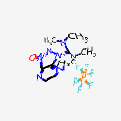 CN(C)C(N(C)C)=[N+]1N=[N+]([O-])c2nccnc21.F[P-](F)(F)(F)(F)F